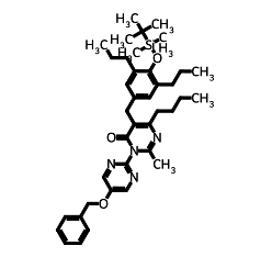 CCCCc1nc(C)n(-c2ncc(OCc3ccccc3)cn2)c(=O)c1Cc1cc(CCC)c(O[Si](C)(C)C(C)(C)C)c(CCC)c1